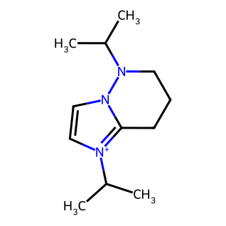 CC(C)N1CCCc2n1cc[n+]2C(C)C